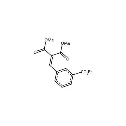 CCOC(=O)c1cccc(C=C(C(=O)OC)C(=O)OC)c1